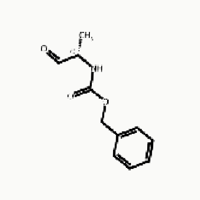 C[C@@H]([C]=O)NC(=O)OCc1ccccc1